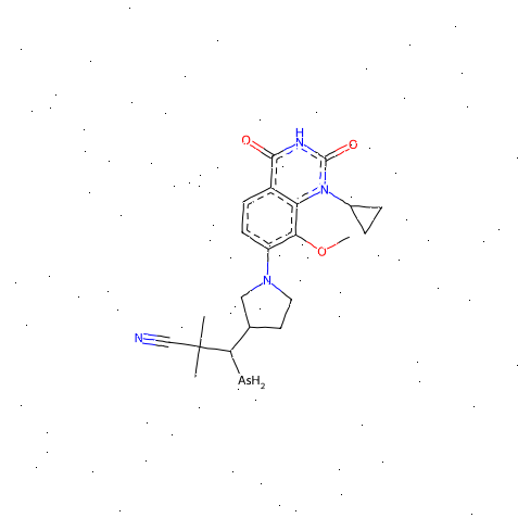 COc1c(N2CCC(C([AsH2])C(C)(C)C#N)C2)ccc2c(=O)[nH]c(=O)n(C3CC3)c12